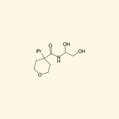 CC(C)C1(C(=O)NC(O)CO)CCOCC1